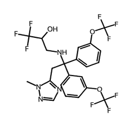 Cn1ncnc1CC(NCC(O)C(F)(F)F)(c1cccc(OC(F)(F)F)c1)c1cccc(OC(F)(F)F)c1